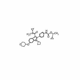 CC(OC(=O)Nc1ccc(-c2c(C(=O)N(C)C3CC3)c3ccc(OC4CCOCC4)cc3n2C2CCC2)cc1)C1CC1